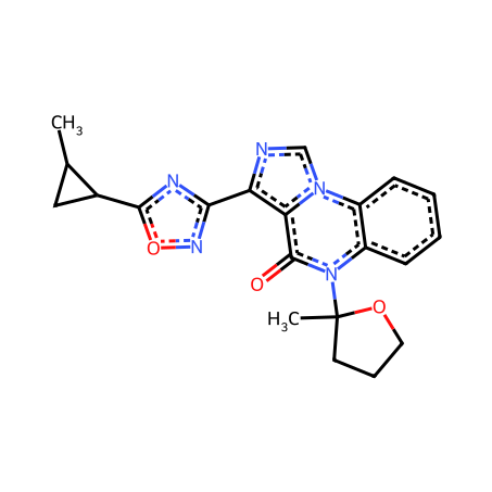 CC1CC1c1nc(-c2ncn3c2c(=O)n(C2(C)CCCO2)c2ccccc23)no1